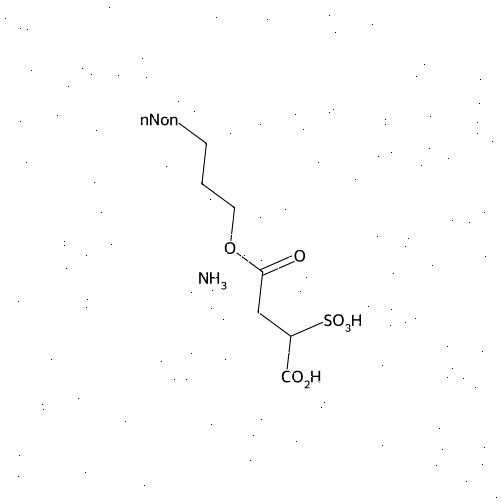 CCCCCCCCCCCCOC(=O)CC(C(=O)O)S(=O)(=O)O.N